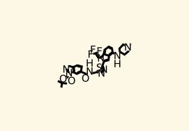 CN1CCC(Nc2cccc3c2cc(-c2nnc(CNC(=O)c4ccc5cnn(C(=O)OC(C)(C)C)c5c4)s2)n3CC(F)(F)F)CC1